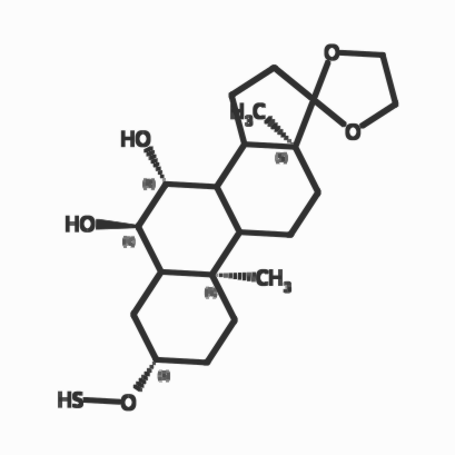 C[C@]12CC[C@H](OS)CC1[C@@H](O)[C@H](O)C1C2CC[C@@]2(C)C1CCC21OCCO1